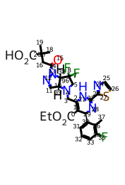 CCOC(=O)C1=C(CN2CC(F)(F)[C@@H]3[C@H]2C=NN3C(=O)CC(C)(C)C(=O)O)NC(c2nccs2)=N[C@H]1c1cccc(F)c1C